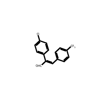 O=CC(=Cc1ccc(C(F)(F)F)cc1)c1ccc(Cl)cc1